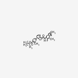 Cc1c(F)c(NC(=O)N2CCc3c(N4CCN(C(=O)OC(C)(C)C)[C@@H](C)C4)ccnc32)cc2cn(C)nc12